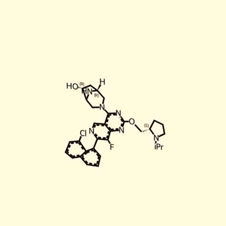 CC(C)N1CCC[C@H]1COc1nc(N2CC3N[C@H](C[C@H]3O)C2)c2cnc(-c3cccc4cccc(Cl)c34)c(F)c2n1